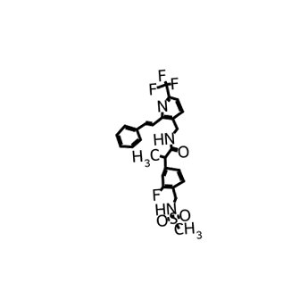 CC(C(=O)NCc1ccc(C(F)(F)F)nc1/C=C/c1ccccc1)c1ccc(CNS(C)(=O)=O)c(F)c1